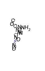 Nc1nc(-c2ccc(Oc3ccccc3)cc2)nc2c1cnn2C1CCCN(C(=O)/C=C/CN2CCOCC2)C1